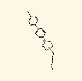 CCCCC[C@H]1CO[C@H](c2ccc(-c3ccc(C)cc3)cc2)CO1